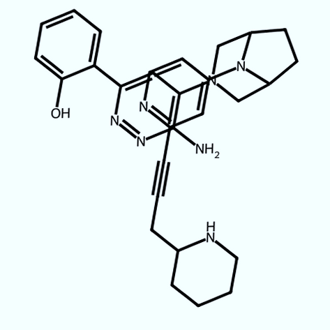 Nc1nnc(-c2ccccc2O)cc1N1CC2CCC(C1)N2c1ccnc(C#CCC2CCCCN2)c1